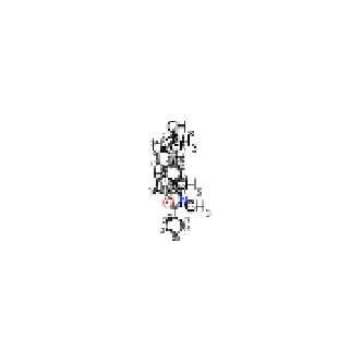 CC[C@]12CC[C@H](C)C[C@H]1CC[C@H]1[C@@H]3CCC[C@H](CN(C)C(=O)c4ccccc4)[C@@]3(C)CC[C@@H]12